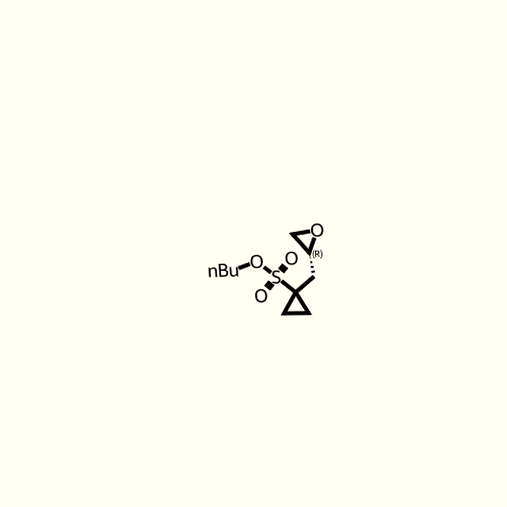 CCCCOS(=O)(=O)C1(C[C@@H]2CO2)CC1